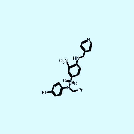 CCc1ccc(N(CC(C)C)S(=O)(=O)c2ccc(NCc3ccncc3)c([N+](=O)[O-])c2)cc1